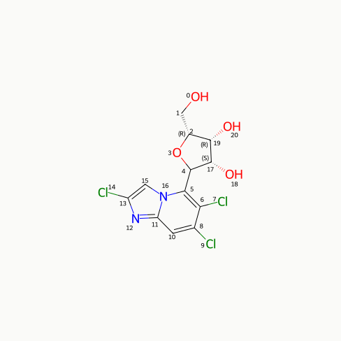 OC[C@H]1OC(c2c(Cl)c(Cl)cc3nc(Cl)cn23)[C@@H](O)[C@H]1O